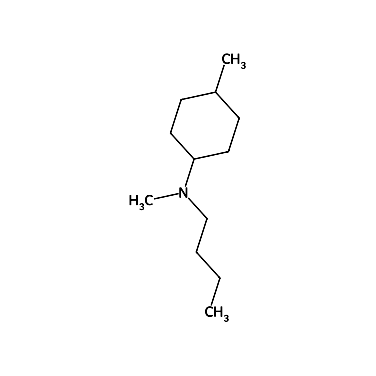 CCCCN(C)C1CCC(C)CC1